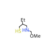 CCC(CS)CNCOC